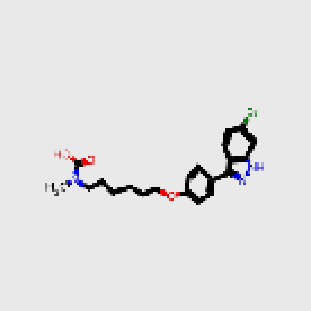 CN(CCCCCCOc1ccc(-c2n[nH]c3cc(Br)ccc23)cc1)C(=O)O